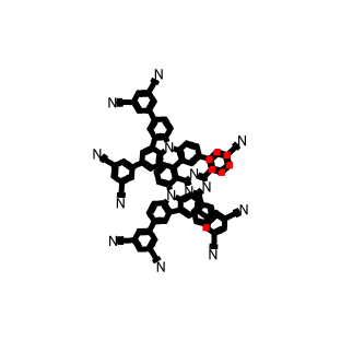 N#Cc1cccc(-c2ccc(-n3c4ccc(-c5cc(C#N)cc(C#N)c5)cc4c4cc(-c5cc(C#N)cc(C#N)c5)ccc43)c(-c3cccc(-n4c5ccc(-c6cc(C#N)cc(C#N)c6)cc5c5cc(-c6cc(C#N)cc(C#N)c6)ccc54)c3-c3nc(-c4ccccc4)nc(-c4ccccc4)n3)c2)c1